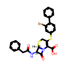 O=C(Cc1ccccc1)N[C@@H]1C(=O)N2C(C(=O)O)=C(Sc3ccc(-c4ccccc4)c(Br)c3)CS[C@H]12